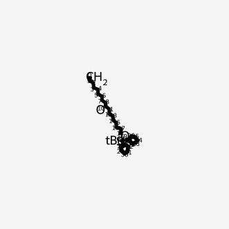 C=CCCCCCCCC(=O)CCCCCCCCO[Si](c1ccccc1)(c1ccccc1)C(C)(C)C